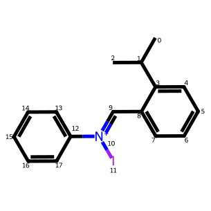 CC(C)c1ccccc1/C=[N+](\I)c1ccccc1